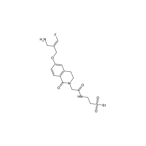 CCS(=O)(=O)CCNC(=O)CN1CCc2cc(OC/C(=C/F)CN)ccc2C1=O